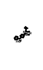 N[N+]12C=CN=CC1=C(C1=CC=C1)N=C2c1ccc(C(=NO)c2ccccc2)cc1